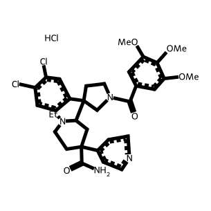 CCN1CCC(C(N)=O)(c2ccncc2)CC1C1(c2ccc(Cl)c(Cl)c2)CCN(C(=O)c2cc(OC)c(OC)c(OC)c2)C1.Cl